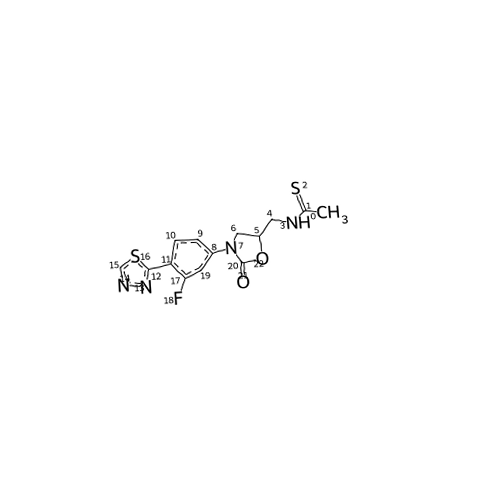 CC(=S)NCC1CN(c2ccc(-c3nncs3)c(F)c2)C(=O)O1